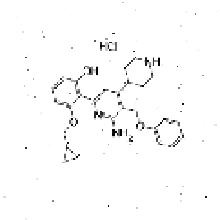 Cl.Nc1nc(-c2c(O)cccc2OCC2CC2)cc(C2CCNCC2)c1COc1ccccc1